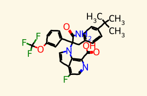 CC(C)(C)c1ccc(CC(C(N)=O)(c2cccc(OC(F)(F)F)c2)n2ccc3c(F)cnc(C(=O)O)c32)cc1